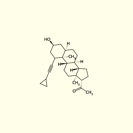 CC(=O)[C@H]1CC[C@H]2[C@@H]3CC[C@@H]4C[C@H](O)CC(C#CC5CC5)[C@]4(C)[C@H]3CC[C@]12C